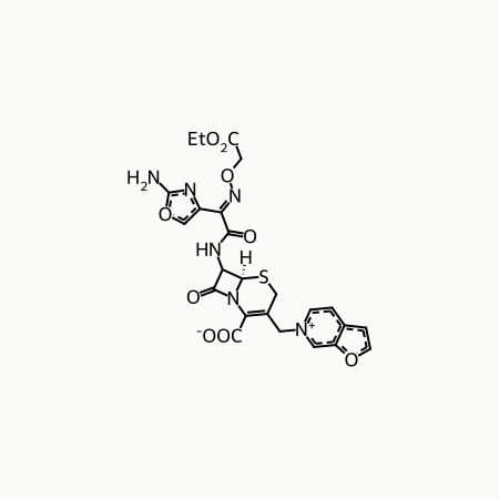 CCOC(=O)CO/N=C(/C(=O)NC1C(=O)N2C(C(=O)[O-])=C(C[n+]3ccc4ccoc4c3)CS[C@H]12)c1coc(N)n1